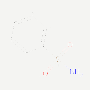 NS(=O)(=O)c1[c][c]cc[c]1